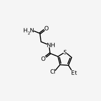 CCc1csc(C(=O)NCC(N)=O)c1Cl